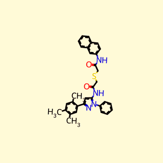 Cc1cc(C)c(-c2cc(NC(=O)CSCC(=O)Nc3ccc4ccccc4c3)n(-c3ccccc3)n2)cc1C